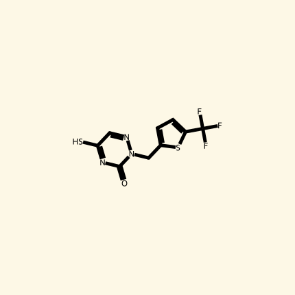 O=c1nc(S)cnn1Cc1ccc(C(F)(F)F)s1